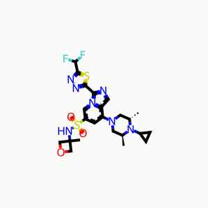 C[C@H]1CN(c2cc(S(=O)(=O)NC3(C)COC3)cn3c(-c4nnc(C(F)F)s4)ncc23)C[C@H](C)N1C1CC1